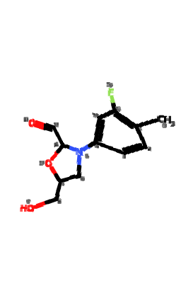 Cc1ccc(N2CC(CO)OC2C=O)cc1F